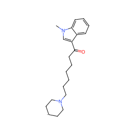 Cn1cc(C(=O)CCCCCCN2CC[CH]CC2)c2ccccc21